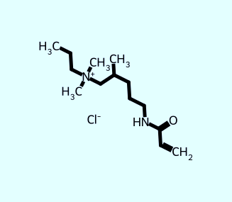 C=CC(=O)NCCCC(C)C[N+](C)(C)CCC.[Cl-]